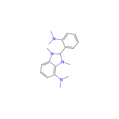 CN(C)c1ccccc1C1N(C)c2cccc(N(C)C)c2N1C